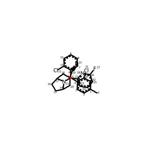 Cc1ccc(C(c2ccccc2Cl)N2C3CCC2CC(C#N)(c2cccc(F)n2)C3)c(Cl)c1